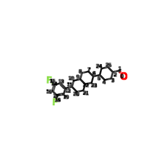 O=CC1CCC(C2CCC3CC(c4cc(F)cc(F)c4)CCC3C2)CC1